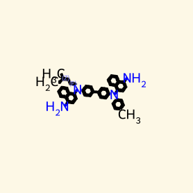 C=C/C(C)=C\C=C\N(c1ccc(-c2ccc(N(c3ccc(C)cc3)c3ccc(N)c4ccccc34)cc2)cc1)c1ccc(N)c2ccccc12